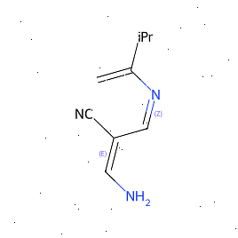 C=C(/N=C\C(C#N)=C/N)C(C)C